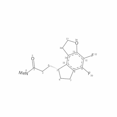 CNC(=O)CC[C@H]1CCc2c(F)c(F)c3c(c21)CCO3